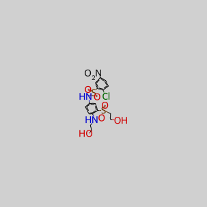 O=[N+]([O-])c1ccc(Cl)c(S(=O)(=O)Nc2ccc(NCCO)c(S(=O)(=O)CCO)c2)c1